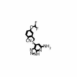 N#Cc1ccc(OC(F)F)cc1CSc1cc(N)nc2[nH]nnc12